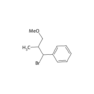 COCC(C)C(Br)c1ccccc1